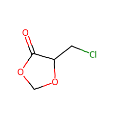 O=C1OCOC1CCl